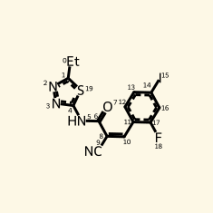 CCc1nnc(NC(=O)C(C#N)=Cc2ccc(I)cc2F)s1